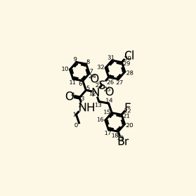 CCNC(=O)C(c1ccccc1)N(CCc1ccc(Br)cc1F)S(=O)(=O)c1ccc(Cl)cc1